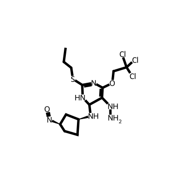 CCCSC1=NC(OCC(Cl)(Cl)Cl)=C(NN)C(N[C@H]2CC[C@@H](N=O)C2)N1